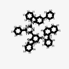 c1ccc(-c2ccc3c(c2)c2ccccc2n3-c2nc(-c3ccccc3)nc(-c3cc(-n4c5ccccc5c5c6ccccc6ccc54)cc4c3sc3ccccc34)n2)cc1